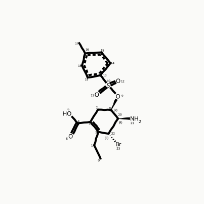 CCC1=C(C(=O)O)C[C@@H](OS(=O)(=O)c2ccc(C)cc2)[C@@H](N)[C@@H]1Br